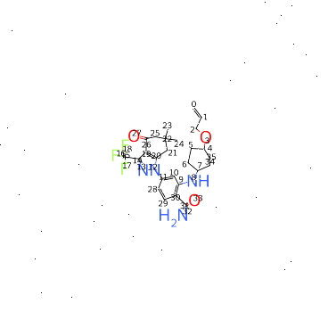 C=CCOC1CCC(Nc2cc(-n3nc(C(F)(F)F)c4c3CC(C)(C)CC4=O)ccc2C(N)=O)CC1